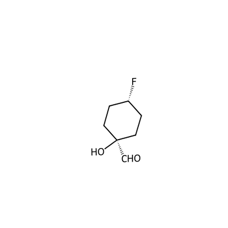 O=C[C@]1(O)CC[C@H](F)CC1